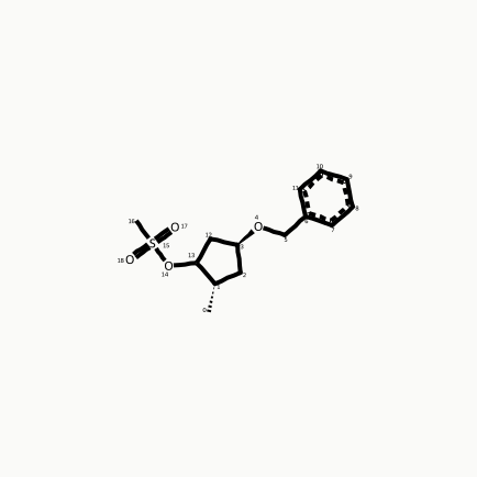 C[C@H]1C[C@H](OCc2ccccc2)CC1OS(C)(=O)=O